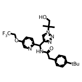 CC(C)(C)c1ccc(CC(=O)NC(c2ccc(OCC(F)(F)F)cn2)c2cn(C(C)(C)CO)nn2)cc1